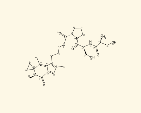 CC1=C(CCCOC(=O)[C@@H]2CCCN2C(=O)[C@H](CO)NC(=O)[C@@H](N)CO)C2=C(C)C3(CC3)[C@H](C)C(=O)C2=C1